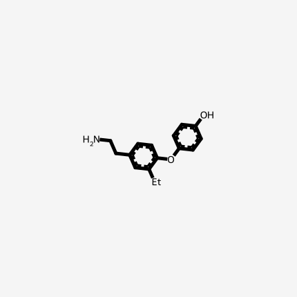 CCc1cc(CCN)ccc1Oc1ccc(O)cc1